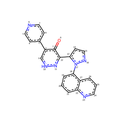 O=c1c(-c2ccncc2)c[nH]nc1-c1ccnn1-c1cccc2ncccc12